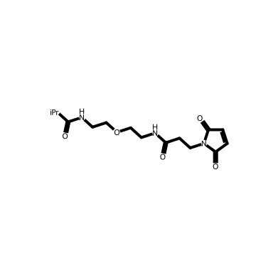 CC(C)C(=O)NCCOCCNC(=O)CCN1C(=O)C=CC1=O